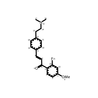 COc1ccc(C(=O)C=Cc2ccc(CCN(C)C)cc2)c(F)c1